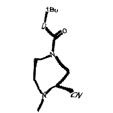 CN1CCN(C(=O)OC(C)(C)C)CC1C#N